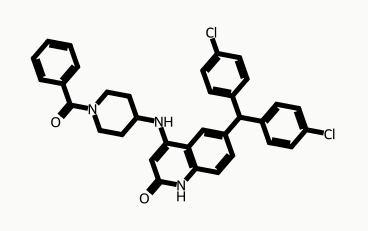 O=C(c1ccccc1)N1CCC(Nc2cc(=O)[nH]c3ccc(C(c4ccc(Cl)cc4)c4ccc(Cl)cc4)cc23)CC1